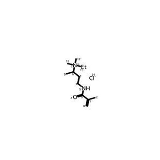 C=C(C)C(=O)NCCC(C)[N+](C)(C)CC.[Cl-]